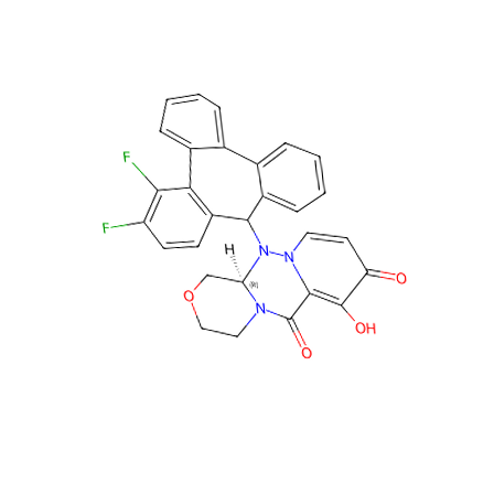 O=C1c2c(O)c(=O)ccn2N(C2c3ccccc3-c3ccccc3-c3c2ccc(F)c3F)[C@@H]2COCCN12